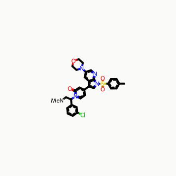 CNCC(c1cccc(Cl)c1)n1ccc(-c2cn(S(=O)(=O)c3ccc(C)cc3)c3ncc(N4CCOCC4)cc23)cc1=O